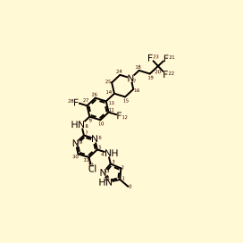 Cc1cc(Nc2nc(Nc3cc(F)c(C4CCN(CCC(F)(F)F)CC4)cc3F)ncc2Cl)n[nH]1